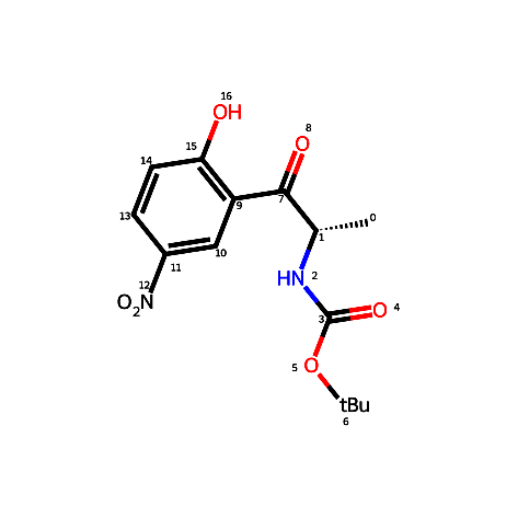 C[C@H](NC(=O)OC(C)(C)C)C(=O)c1cc([N+](=O)[O-])ccc1O